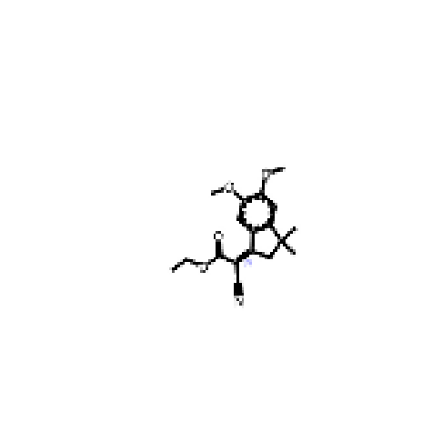 CCOC(=O)/C(C#N)=C1/CC(C)(C)c2cc(OC)c(OC)cc21